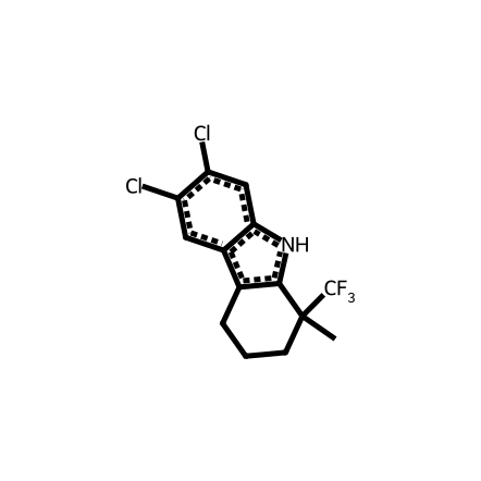 CC1(C(F)(F)F)CCCc2c1[nH]c1cc(Cl)c(Cl)cc21